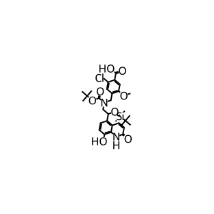 COc1cc(C(=O)O)c(Cl)cc1CN(CC(O[Si](C)(C)C(C)(C)C)c1ccc(O)c2[nH]c(=O)ccc12)C(=O)OC(C)(C)C